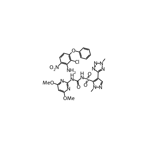 COc1cc(OC)nc(NC(=O)NS(=O)(=O)c2c(-c3nnn(C)n3)cnn2C)n1.Nc1c([N+](=O)[O-])ccc(Oc2ccccc2)c1Cl